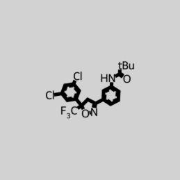 CC(C)(C)C(=O)Nc1cccc(C2=NOC(c3cc(Cl)cc(Cl)c3)(C(F)(F)F)C2)c1